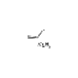 [CH2]C=C.[MgH2]